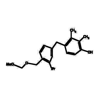 COCOCc1ccc(Cc2ccc(O)c(C)c2C)cc1C(C)C